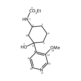 CCOC(=O)NC1CCCC(O)(c2ccncc2OC)C1